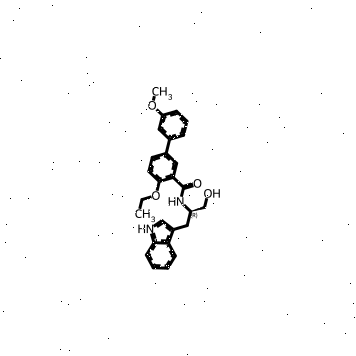 CCOc1ccc(-c2cccc(OC)c2)cc1C(=O)N[C@@H](CO)Cc1c[nH]c2ccccc12